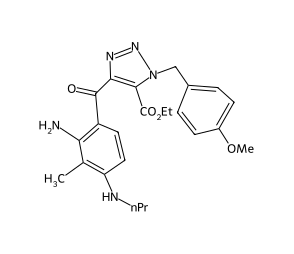 CCCNc1ccc(C(=O)c2nnn(Cc3ccc(OC)cc3)c2C(=O)OCC)c(N)c1C